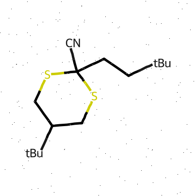 CC(C)(C)CCC1(C#N)SCC(C(C)(C)C)CS1